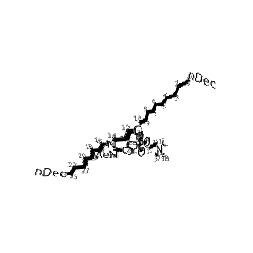 CCCCCCCCCCCCCCCCCCCCOCC(CN(CCCCCCCCCCCCCCCCCC)C(=O)NC)OP(=O)([O-])OCC[N+](C)(C)C